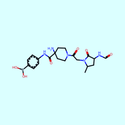 CC1CC(NC=O)C(=O)N1CC(=O)N1CCC(N)(C(=O)Nc2ccc(B(O)O)cc2)CC1